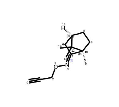 C#CCO/N=C1\C[C@H]2CC[C@]1(C)C2(C)C